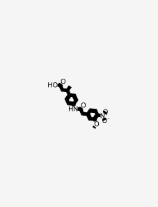 COc1cc(CC(=O)Nc2ccc(C(C)CC(=O)O)cc2)ccc1[N+](=O)[O-]